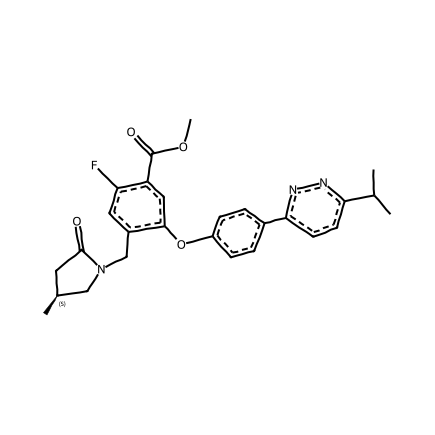 COC(=O)c1cc(Oc2ccc(-c3ccc(C(C)C)nn3)cc2)c(CN2C[C@@H](C)CC2=O)cc1F